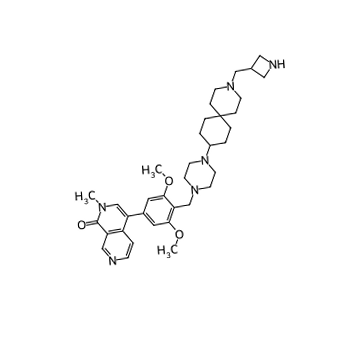 COc1cc(-c2cn(C)c(=O)c3cnccc23)cc(OC)c1CN1CCN(C2CCC3(CC2)CCN(CC2CNC2)CC3)CC1